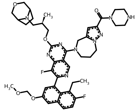 CCc1c(F)ccc2cc(OCOC)cc(-c3ncc4c(N5CCCn6nc(C(=O)N7CCNCC7)cc6C5)nc(OC[C@H](C)CN5C6CCC5COC6)nc4c3F)c12